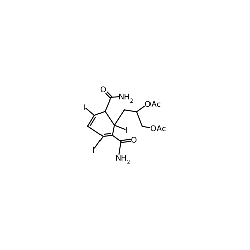 CC(=O)OCC(CC1(I)C(C(N)=O)=C(I)C=C(I)C1C(N)=O)OC(C)=O